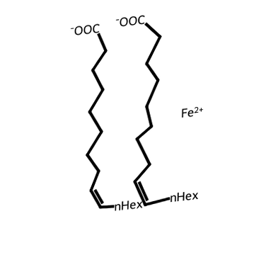 CCCCCC/C=C\CCCCCCCC(=O)[O-].CCCCCC/C=C\CCCCCCCC(=O)[O-].[Fe+2]